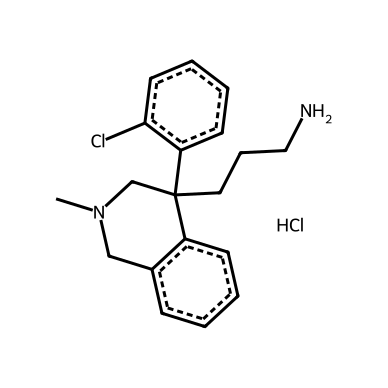 CN1Cc2ccccc2C(CCCN)(c2ccccc2Cl)C1.Cl